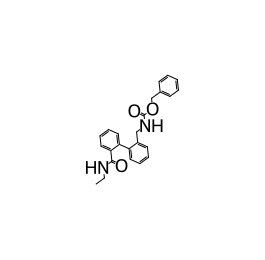 CCNC(=O)c1ccccc1-c1ccccc1CNC(=O)OCc1ccccc1